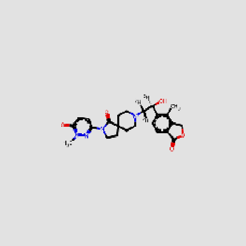 [2H]C([2H])(N1CCC2(CCN(c3ccc(=O)n(C)n3)C2=O)CC1)[C@@]([2H])(O)c1ccc2c(c1C)COC2=O